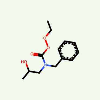 CCOOC(=O)N(Cc1ccccc1)CC(C)O